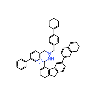 NC(NN(Cc1ccc(C2=CCCCC2)cc1)Cc1ccc(-c2ccccc2)cc1)C1=CCCC2=C1c1cc(-c3ccc4c(c3)CCC=C4)ccc1C2